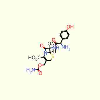 CO[C@@]1(NC(=O)C(N)c2ccc(O)cc2)C(=O)N2C(C(=O)O)=C(COC(N)=O)CS[C@H]21